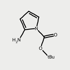 CC(C)(C)OC(=O)n1cccc1N